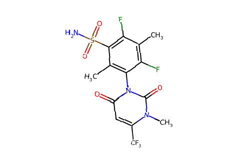 Cc1c(F)c(-n2c(=O)cc(C(F)(F)F)n(C)c2=O)c(C)c(S(N)(=O)=O)c1F